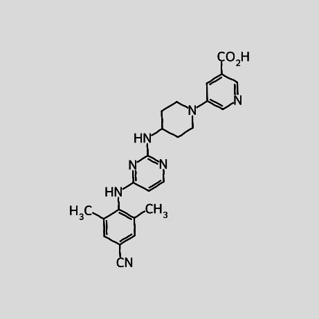 Cc1cc(C#N)cc(C)c1Nc1ccnc(NC2CCN(c3cncc(C(=O)O)c3)CC2)n1